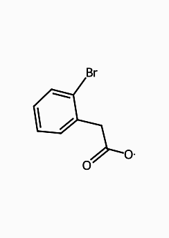 [O]C(=O)Cc1ccccc1Br